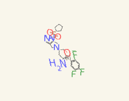 NC1CC(N2Cc3cnn(S(=O)(=O)C4CCCC4)c3C2)CO[C@@H]1c1cc(F)c(F)cc1F